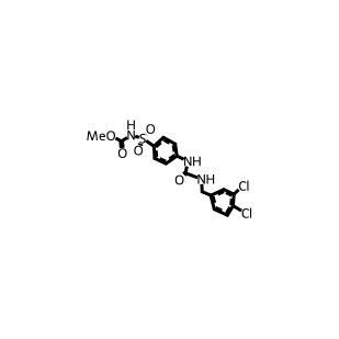 COC(=O)NS(=O)(=O)c1ccc(NC(=O)NCc2ccc(Cl)c(Cl)c2)cc1